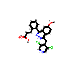 COc1ccc2c(Cc3c(Cl)cncc3Cl)nnc(-c3ccccc3CCC(=O)O)c2c1